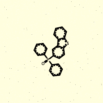 O=P(c1ccccc1)(c1ccccc1)c1ccc2sc3ccccc3c2c1